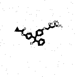 CC/C(=C(/c1ccc(OCC(O)CN(C)C)cc1)c1ccc(OC(=O)C2CC2)cc1)c1ccccc1